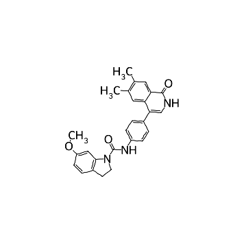 COc1ccc2c(c1)N(C(=O)Nc1ccc(-c3c[nH]c(=O)c4cc(C)c(C)cc34)cc1)CC2